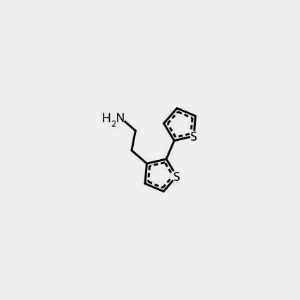 NCCc1ccsc1-c1cccs1